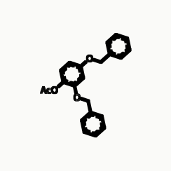 CC(=O)Oc1ccc(OCc2ccccc2)cc1OCc1ccccc1